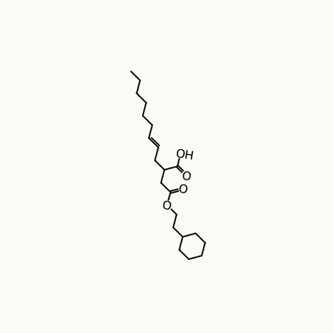 CCCCCC/C=C/CC(CC(=O)OCCC1CCCCC1)C(=O)O